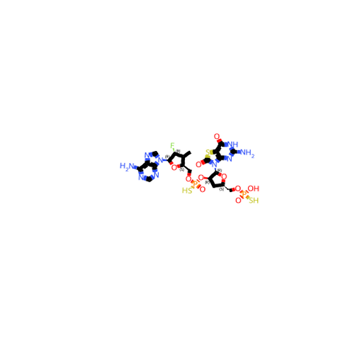 CC1[C@@H](F)[C@H](n2cnc3c(N)ncnc32)O[C@@H]1COP(=O)(S)O[C@@H]1C[C@@H](COP(=O)(O)S)O[C@H]1n1c(=O)sc2c(=O)[nH]c(N)nc21